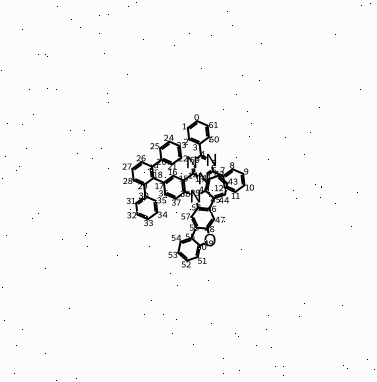 c1ccc(-c2nc(-c3ccccc3)nc(-c3cc(-c4c(-c5ccccc5)cccc4-c4ccccc4)ccc3-n3c4ccccc4c4cc5oc6ccccc6c5cc43)n2)cc1